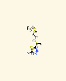 Cc1nnc(C(C)SCCSC(F)(F)F)s1